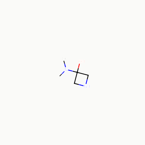 CCN(CC)C1(O)CNC1